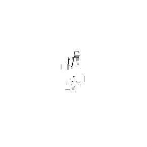 CC(C)NC(=O)c1cccc2c3c([nH]c12)CCC(NC(=O)Nc1cc(C(C)(C)C)on1)C3